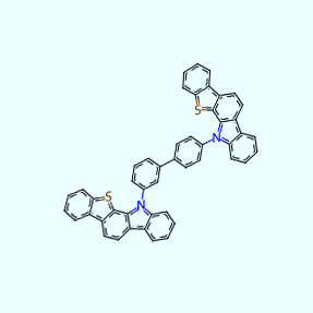 c1cc(-c2ccc(-n3c4ccccc4c4ccc5c6ccccc6sc5c43)cc2)cc(-n2c3ccccc3c3ccc4c5ccccc5sc4c32)c1